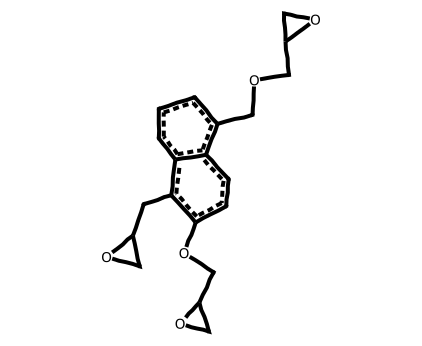 c1cc(COCC2CO2)c2ccc(OCC3CO3)c(CC3CO3)c2c1